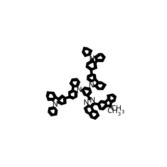 CC1(C)c2ccccc2-c2cc(-c3nc(-c4cc(-n5c6ccccc6c6cc(-c7ccc8c(c7)c7ccccc7n8-c7ccccc7)ccc65)cc(-n5c6ccccc6c6cc(-c7ccc8c(c7)c7ccccc7n8-c7ccccc7)ccc65)c4)nc4ccc5ccccc5c34)ccc21